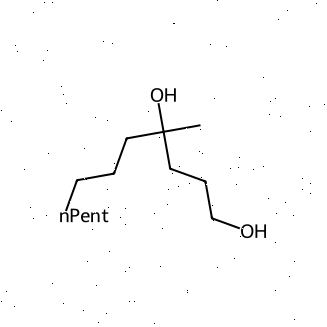 CCCCCCCCC(C)(O)CCCO